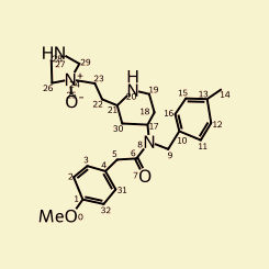 COc1ccc(CC(=O)N(Cc2ccc(C)cc2)C2CCNC(CC[N+]3([O-])CCNC3)C2)cc1